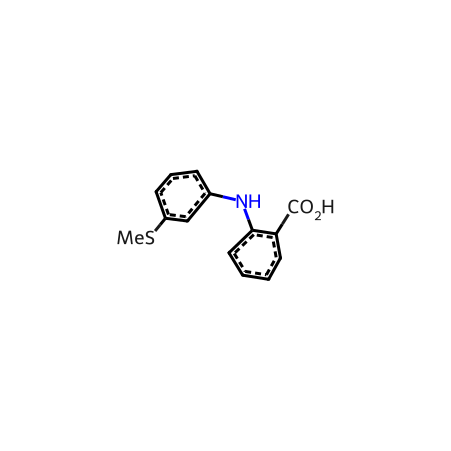 CSc1cccc(Nc2ccccc2C(=O)O)c1